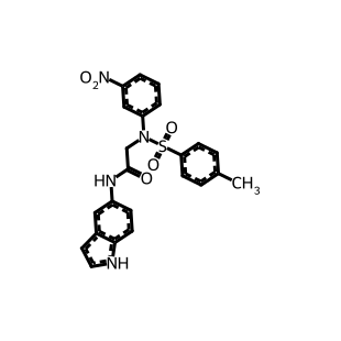 Cc1ccc(S(=O)(=O)N(CC(=O)Nc2ccc3[nH]ccc3c2)c2cccc([N+](=O)[O-])c2)cc1